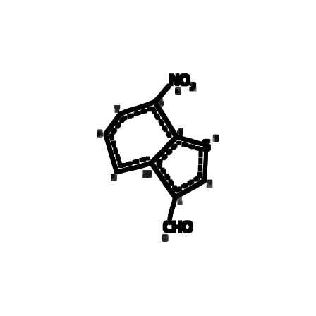 O=Cc1csc2c([N+](=O)[O-])cccc12